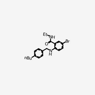 CCCCc1ccc(CNc2ccc(Br)cc2C(=O)NCC)cc1